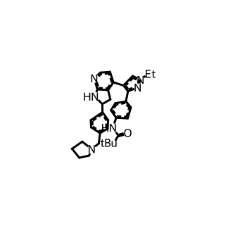 CCn1cc(-c2ccnc3c2CC(c2ccc(CN4CCCC4)cc2)N3)c(-c2ccc(NC(=O)C(C)(C)C)cc2)n1